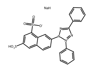 O=S(=O)([O-])c1cc(S(=O)(=O)O)cc2ccc(-n3nc(-c4ccccc4)n[n+]3-c3ccccc3)cc12.[NaH]